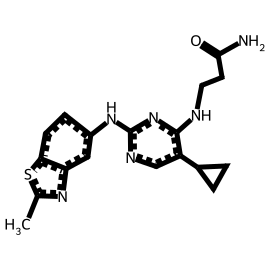 Cc1nc2cc(Nc3ncc(C4CC4)c(NCCC(N)=O)n3)ccc2s1